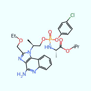 CCOCc1nc2c(N)nc3ccccc3c2n1[C@@H](C)COP(=O)(N[C@@H](C)C(=O)OC(C)C)Oc1ccc(Cl)cc1